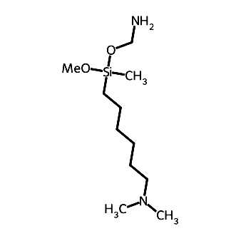 CO[Si](C)(CCCCCCN(C)C)OCN